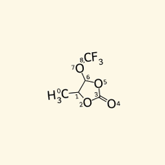 CC1OC(=O)OC1OC(F)(F)F